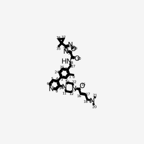 Cc1cc(-c2ccncc2N2CCN(C(=O)C=CCN(C)C)CC2)ccc1CNC(=O)c1nc(C2(C)CC2)no1